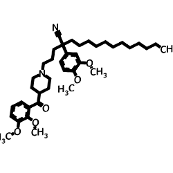 CCCCCCCCCCCCC(C#N)(CCCN1CCC(C(=O)c2cccc(OC)c2OC)CC1)c1ccc(OC)c(OC)c1